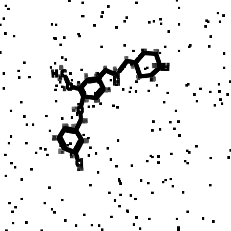 COc1cc(CNCC2CCNCC2)ccc1OCc1cccc(Cl)c1